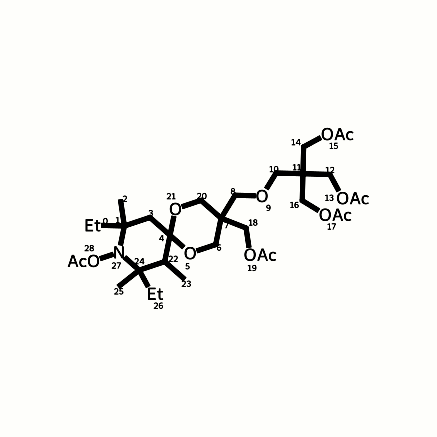 CCC1(C)CC2(OCC(COCC(COC(C)=O)(COC(C)=O)COC(C)=O)(COC(C)=O)CO2)C(C)C(C)(CC)N1OC(C)=O